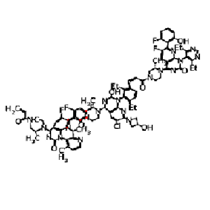 C=CC(=O)N1CCN(c2nc(=O)n(-c3c(C)ccnc3C(C)C/C=C\C(=O)N3CCN(C4=NC(O)N(c5c(CC)ccc(/C=C\C(=O)N6CCN(c7nc(=O)n(-c8c(CC)ncnc8CC)c8nc(-c9c(O)cccc9F)c(F)cc78)[C@@H](C)C6)c5CC)c5nc(N6CC(O)C6)c(Cl)cc54)[C@@H](C)C3)c3nc(-c4ccc(F)cc4F)c(F)cc23)[C@@H](C)C1